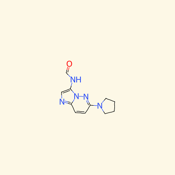 O=CNc1cnc2ccc(N3CCCC3)nn12